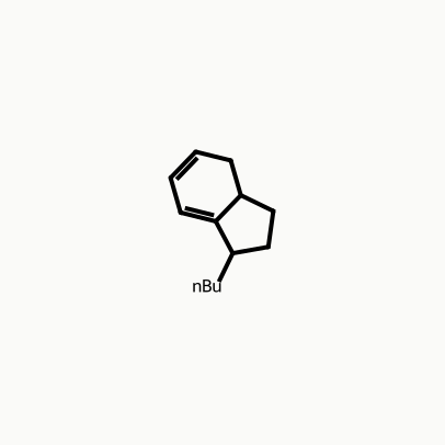 CCCCC1CCC2CC=CC=C21